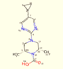 C[C@@H]1CN(c2ncc(C3CC3)cn2)C[C@H](C)N1C(=O)O